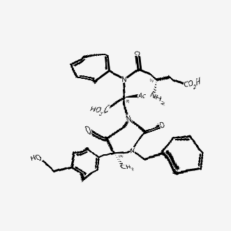 CC(=O)[C@](C(=O)O)(N1C(=O)N(Cc2ccccc2)[C@@](C)(c2ccc(CO)cc2)C1=O)N(C(=O)[C@@H](N)CC(=O)O)c1ccccc1